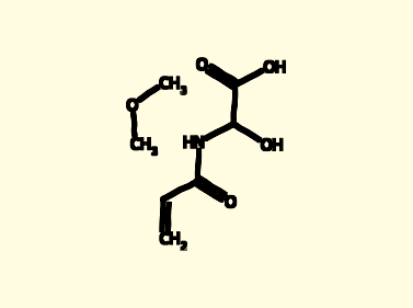 C=CC(=O)NC(O)C(=O)O.COC